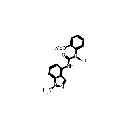 COc1ccccc1N(S)C(=O)Nc1cccc2c1cnn2C